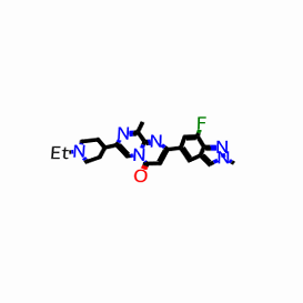 CCN1CCC(c2cn3c(=O)cc(-c4cc(F)c5nn(C)cc5c4)nc3c(C)n2)CC1